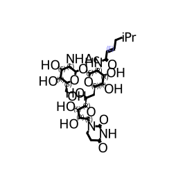 CC(=O)N[C@@H]1C(O[C@@H]2O[C@H](CC(O)[C@H]3O[C@@H](N4CCC(=O)NC4=O)[C@H](O)[C@@H]3O)[C@H](O)[C@H](O)[C@H]2NC(=O)/C=C/CC(C)C)O[C@@H](CO)[C@H](O)[C@H]1O